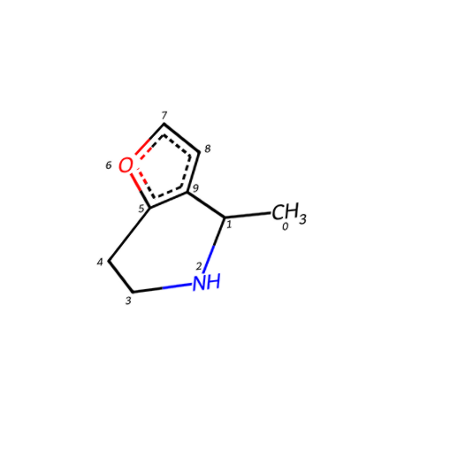 CC1NCCc2occc21